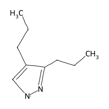 CCCC1=C[N]N=C1CCC